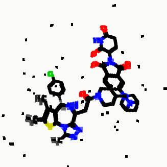 Cc1sc2c(c1C)[C@H](c1ccc(Cl)cc1)NC(CC(=O)N1CCC(CN3C4CC3CN(c3ccc5c(c3)C(=O)N(C3CCC(=O)NC3=O)C5=O)C4)CC1)c1nnc(C)n1-2